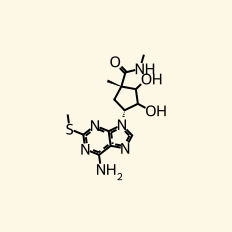 CNC(=O)[C@@]1(C)C[C@@H](n2cnc3c(N)nc(SC)nc32)C(O)C1O